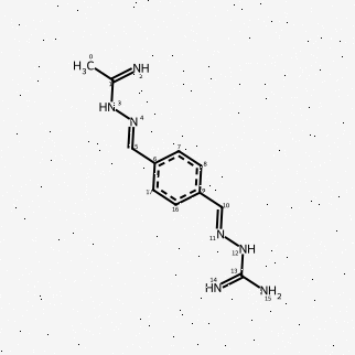 CC(=N)N/N=C/c1ccc(/C=N/NC(=N)N)cc1